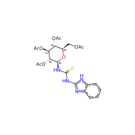 CC(=O)OC[C@H]1O[C@@H](NC(=S)Nc2nc3ccccc3[nH]2)[C@H](OC(C)=O)[C@@H](OC(C)=O)[C@@H]1OC(C)=O